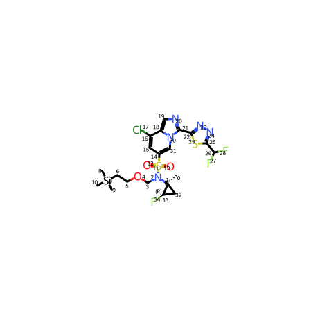 C[C@]1(N(COCC[Si](C)(C)C)S(=O)(=O)c2cc(Cl)c3cnc(-c4nnc(C(F)F)s4)n3c2)C[C@H]1F